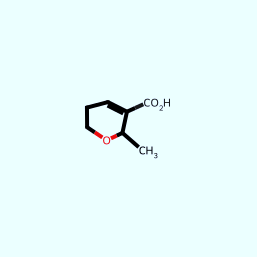 CC1OCCC=C1C(=O)O